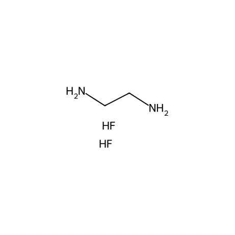 F.F.NCCN